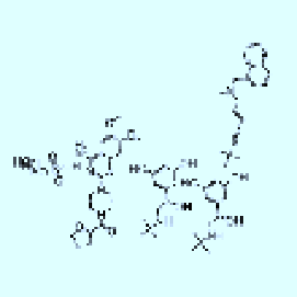 CC(C)(C)NCC(O)c1cc(O)cc(O)c1.CC(C)(C)NCC(O)c1cc(O)cc(O)c1.CN(C/C=C/C#CC(C)(C)C)Cc1cccc2ccccc12.COc1cc2nc(N3CCN(C(=O)C4CCCO4)CC3)nc(N)c2cc1OC.Cl.Cl.O=S(=O)(O)O